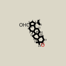 C=C(C)[C@@H]1CC[C@]2(C=O)CC[C@]3(C)C(CCC4[C@@]5(C)CCC(=O)C(C)(C)C5CC[C@]43C)C12